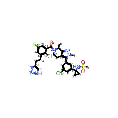 CC1c2nn(C)c(-c3cc(Cl)cc(C4(NS(C)(=O)=O)CC4)c3)c2CCN1C(=O)c1cc(F)cc(CCc2c[nH]nn2)c1Cl